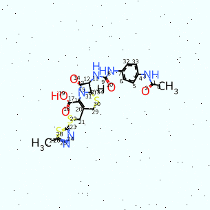 CC(=O)Nc1ccc(NC(=O)NC2C(=O)N3C(C(=O)O)=C(CSc4nnc(C)s4)CS[C@H]23)cc1